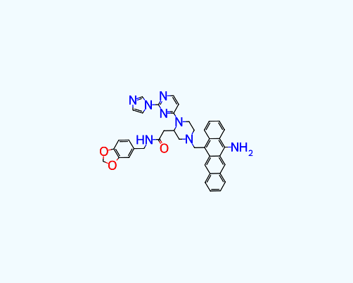 Nc1c2ccccc2c(CN2CCN(c3ccnc(-n4ccnc4)n3)C(CC(=O)NCc3ccc4c(c3)OCO4)C2)c2cc3ccccc3cc12